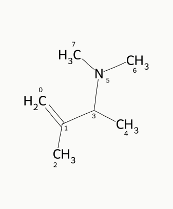 C=C(C)C(C)N(C)C